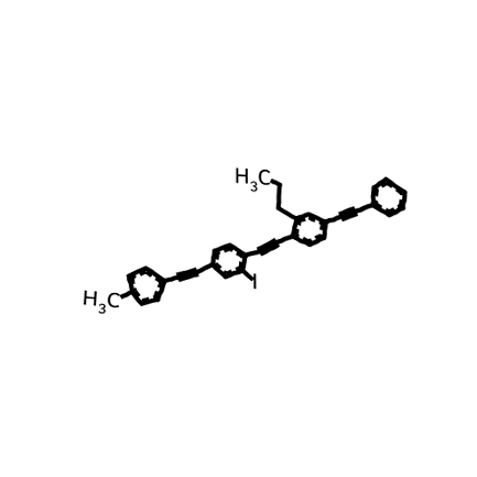 CCCc1cc(C#Cc2ccccc2)ccc1C#Cc1ccc(C#Cc2ccc(C)cc2)cc1I